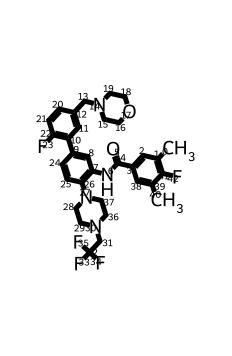 Cc1cc(C(=O)Nc2cc(-c3cc(CN4CCOCC4)ccc3F)ccc2N2CCN(CC(F)(F)F)CC2)cc(C)c1F